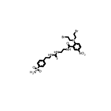 NS(=O)(=O)c1ccc(CCNC(=S)NCCNC(=O)c2cc([N+](=O)[O-])ccc2N(CCBr)CCBr)cc1